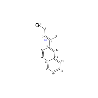 C/C(=C\CCl)c1ccc2ccccc2c1